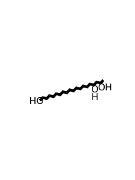 CC(O)CC(O)CCCCCCCCCCCCCCCO